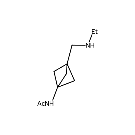 CCNCC12CC(NC(C)=O)(C1)C2